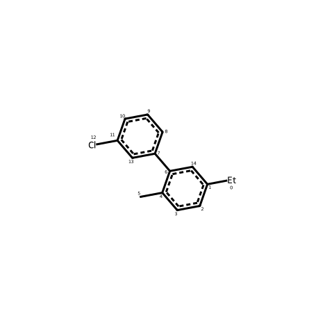 CCc1ccc(C)c(-c2cccc(Cl)c2)c1